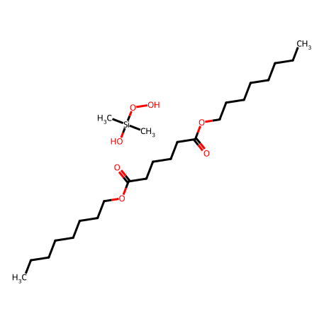 CCCCCCCCOC(=O)CCCCC(=O)OCCCCCCCC.C[Si](C)(O)OO